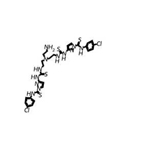 NCCN(CCNC(=S)Nc1ccn(C(=S)Nc2ccc(Cl)cc2)n1)CCNC(=S)Nc1ccn(C(=S)Nc2ccc(Cl)cc2)n1